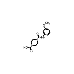 COc1cccc(NC(=O)N2CCN(C(=O)O)CC2)c1